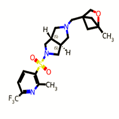 Cc1nc(C(F)(F)F)ccc1S(=O)(=O)N1C[C@@H]2CN(CC34COC(C)(C3)C4)C[C@H]2C1